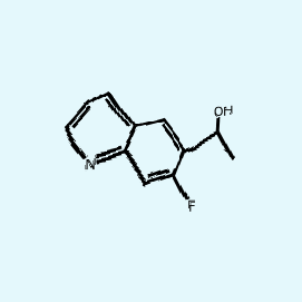 CC(O)c1cc2cccnc2cc1F